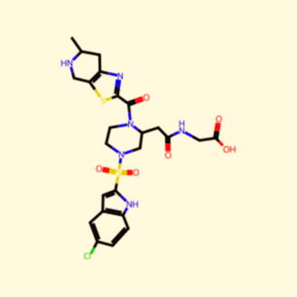 CC1Cc2nc(C(=O)N3CCN(S(=O)(=O)c4cc5cc(Cl)ccc5[nH]4)CC3CC(=O)NCC(=O)O)sc2CN1